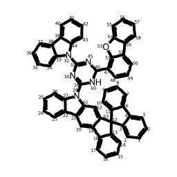 c1ccc2c(c1)-c1ccccc1C21c2ccccc2-c2cc3c4ccccc4n(C4=NC(n5c6ccccc6c6ccccc65)=NC(c5cccc6c5oc5ccccc56)N4)c3cc21